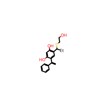 C=C(c1ccccc1)c1cc(C(CC)SCCO)c(O)cc1O